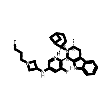 C[C@@H]1Cc2c([nH]c3ccccc23)[C@@H](c2ncc(NC3CN(CCCF)C3)cc2F)N1[C@@H]1CCC2CC1C2